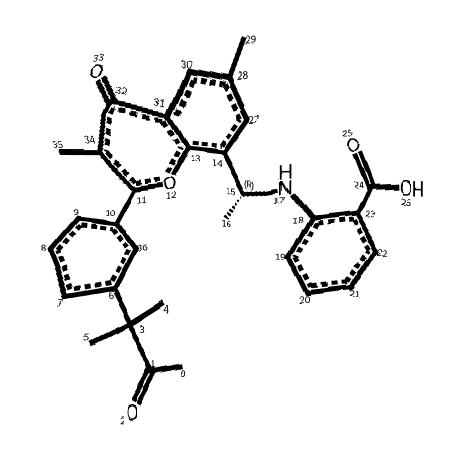 CC(=O)C(C)(C)c1cccc(-c2oc3c([C@@H](C)Nc4ccccc4C(=O)O)cc(C)cc3c(=O)c2C)c1